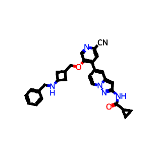 N#Cc1cc(-c2ccn3nc(NC(=O)C4CC4)cc3c2)c(OCC2CC(NCc3ccccc3)C2)cn1